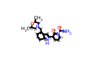 CC1CN(Cc2cccc3[nH]c(-c4c[c]cn(C(N)=O)c4=O)cc23)CC(C)O1